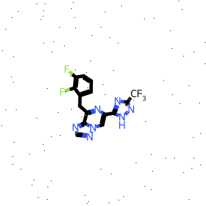 Fc1cccc(Cc2nc(-c3nc(C(F)(F)F)n[nH]3)cn3ncnc23)c1F